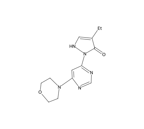 CCc1c[nH]n(-c2cc(N3CCOCC3)ncn2)c1=O